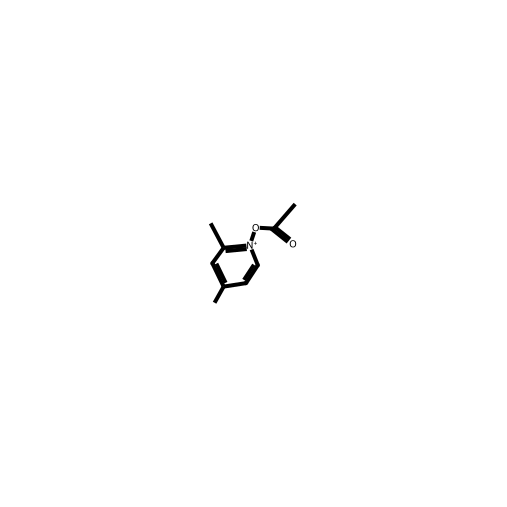 CC(=O)O[n+]1ccc(C)cc1C